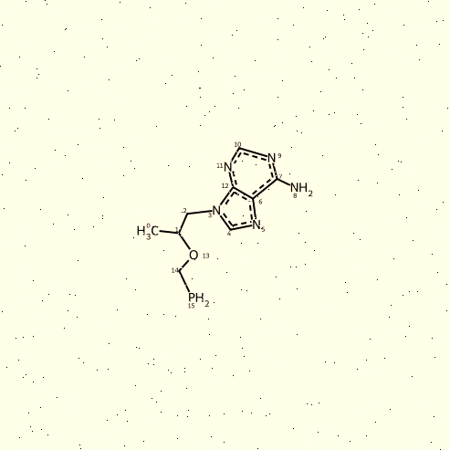 CC(Cn1cnc2c(N)ncnc21)OCP